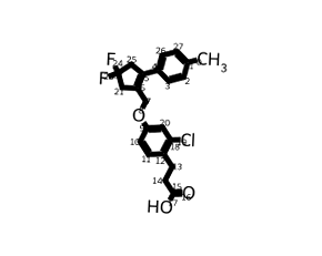 Cc1ccc(C2=C(COc3ccc(CCC(=O)O)c(Cl)c3)CC(F)(F)C2)cc1